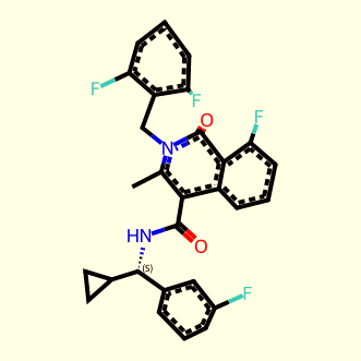 Cc1c(C(=O)N[C@H](c2cccc(F)c2)C2CC2)c2cccc(F)c2c(=O)n1Cc1c(F)cccc1F